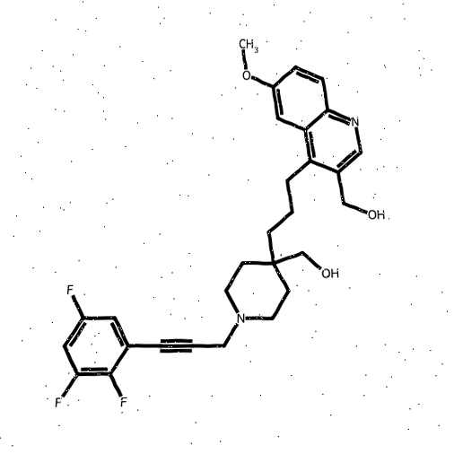 COc1ccc2ncc(CO)c(CCCC3(CO)CCN(CC#Cc4cc(F)cc(F)c4F)CC3)c2c1